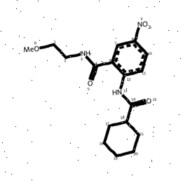 COCCNC(=O)c1cc([N+](=O)[O-])ccc1NC(=O)C1CCCCC1